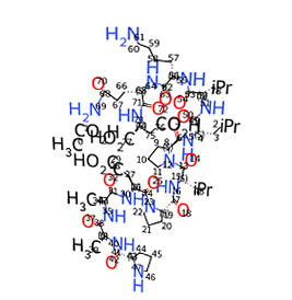 CC(=O)O.CC(C)C[C@H](NC(=O)[C@@H]1CCCN1C(=O)[C@@H](NC(=O)[C@@H]1CCCN1C(=O)[C@H](CCC(=O)O)NC(=O)[C@H](C)NC(=O)[C@H](C)NC(=O)[C@@H]1CCCN1)C(C)C)C(=O)N[C@H](C(=O)N[C@@H](CCCCN)C(=O)N[C@@H](CCC(N)=O)C(=O)N[C@@H](CC(=O)O)C(=O)O)C(C)C